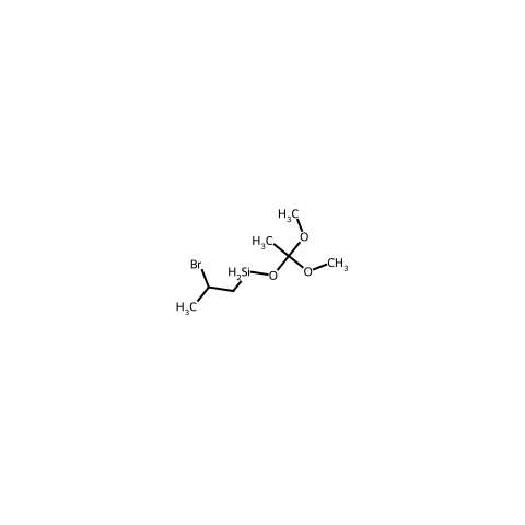 COC(C)(OC)O[SiH2]CC(C)Br